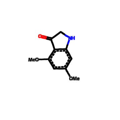 COc1cc2c(c(OC)c1)C(=O)CN2